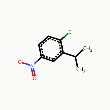 [CH2]C(C)c1cc([N+](=O)[O-])ccc1Cl